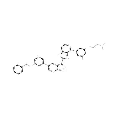 CN(C)CCOc1cc(F)cc(-c2nccc3[nH]c(-c4n[nH]c5ncc(-c6cncc(OCc7ccccc7)c6)cc45)nc23)c1